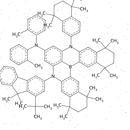 Cc1ccccc1N(c1cc2c3c(c1)N(c1ccc4c(c1)C(C)(C)CCC4(C)C)c1cc4c(cc1B3c1cc3c(cc1N2c1cc2c(c(C(C)(C)C)c1)C(C)(C)c1ccccc1-2)C(C)(C)CCC3(C)C)C(C)(C)CCC4(C)C)c1ccccc1C